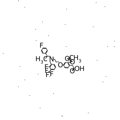 CC(CN(CCCOc1ccc(CC(=O)O)c(S(C)(=O)=O)c1)Cc1cccc(C(F)(F)F)c1F)c1ccc(F)cc1